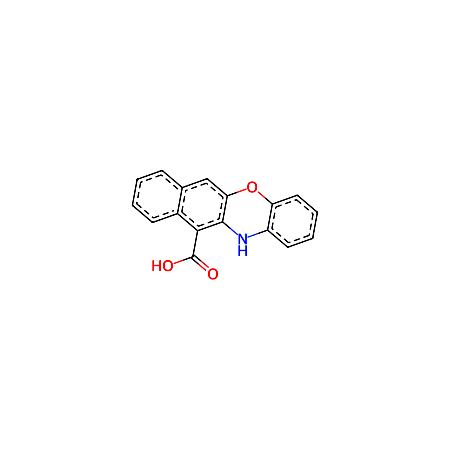 O=C(O)c1c2c(cc3ccccc13)Oc1ccccc1N2